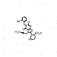 CC#CCn1c(C2CNCCN2C(=O)O)nc2nc(Cl)n(Cc3ccccc3C#N)c(=O)c21